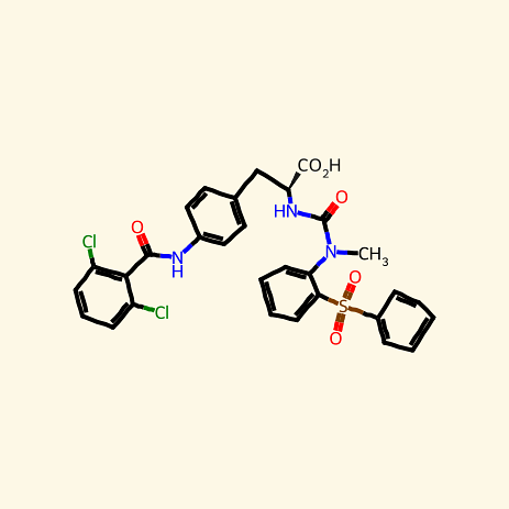 CN(C(=O)N[C@@H](Cc1ccc(NC(=O)c2c(Cl)cccc2Cl)cc1)C(=O)O)c1ccccc1S(=O)(=O)c1ccccc1